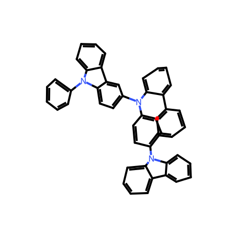 c1ccc(-c2ccccc2N(c2ccc(-n3c4ccccc4c4ccccc43)cc2)c2ccc3c(c2)c2ccccc2n3-c2ccccc2)cc1